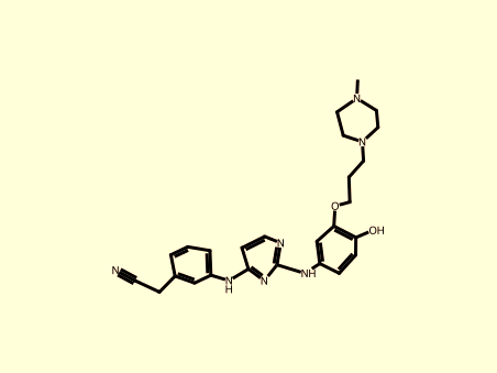 CN1CCN(CCCOc2cc(Nc3nccc(Nc4cccc(CC#N)c4)n3)ccc2O)CC1